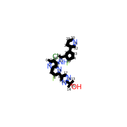 Cc1nc2cc(F)c(-c3cnc(C(C)(C)O)nc3)nc2c(NC(C)c2cc(-c3cccnc3)ccc2F)c1Cl